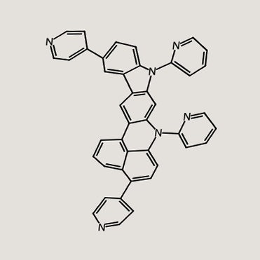 c1ccc(N2c3cc4c(cc3-c3cccc5c(-c6ccncc6)ccc2c35)c2cc(-c3ccncc3)ccc2n4-c2ccccn2)nc1